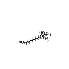 CCCCCCCCC=CCCCCCCCCOC(P)C(O)CO